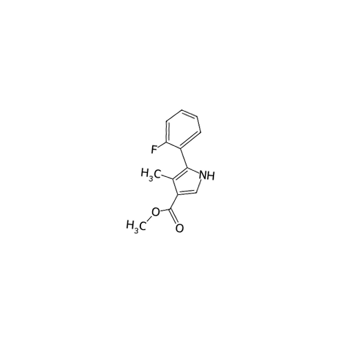 COC(=O)c1c[nH]c(-c2ccccc2F)c1C